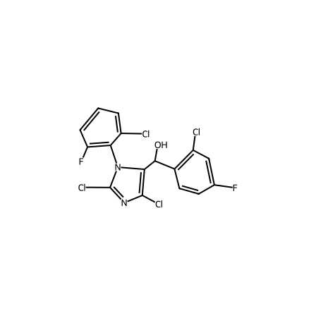 OC(c1ccc(F)cc1Cl)c1c(Cl)nc(Cl)n1-c1c(F)cccc1Cl